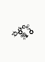 C[C@@H]1CN(c2cc(S(=O)(=O)NC3(C)CC3)cc3c2cnn3C2CCN(C(=O)OCc3ccccc3)C2)C[C@H](C)N1C